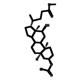 COC(=O)CCC(C)[C@H]1CCC2C3CC[C@@H]4C[C@H](OC(=O)Cl)CC[C@]4(C)C3C[C@H](O)[C@@]21C